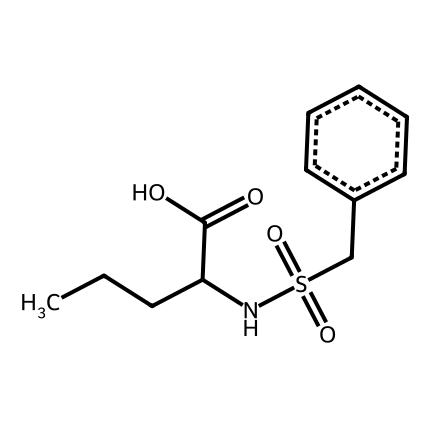 CCCC(NS(=O)(=O)Cc1ccccc1)C(=O)O